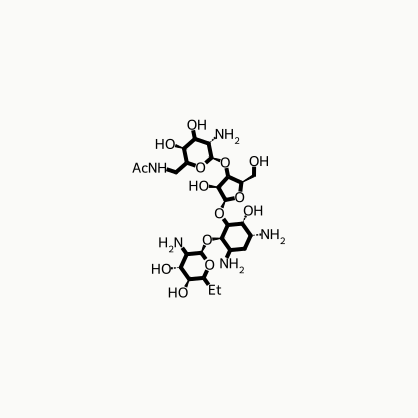 CCC1O[C@H](O[C@@H]2C(N)C[C@@H](N)[C@@H](O)C2O[C@@H]2O[C@H](CO)C(O[C@H]3OC(CNC(C)=O)[C@@H](O)C(O)[C@@H]3N)[C@@H]2O)C(N)[C@@H](O)[C@@H]1O